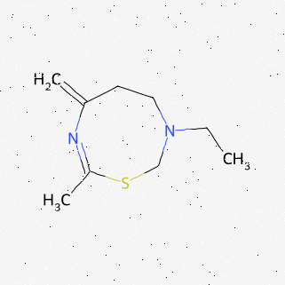 C=C1CCN(CC)CS/C(C)=N\1